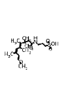 CO/C=C/C(C)=C\C(C)=C(/C)C(C)(C)CC(=O)NCCCS(=O)(=O)O